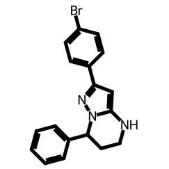 Brc1ccc(-c2cc3n(n2)C(c2ccccc2)CCN3)cc1